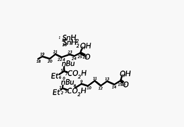 CCCCC(CC)C(=O)O.CCCCC(CC)C(=O)O.CCCCCCCC(=O)O.CCCCCCCC(=O)O.[SnH2].[SnH2]